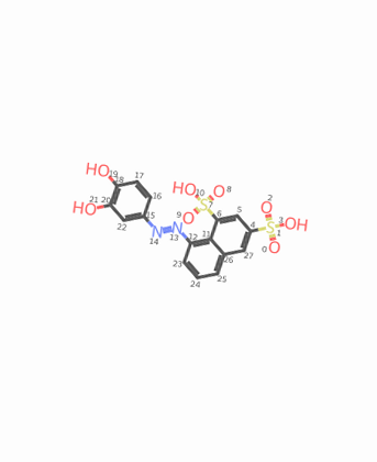 O=S(=O)(O)c1cc(S(=O)(=O)O)c2c(N=Nc3ccc(O)c(O)c3)cccc2c1